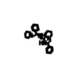 c1ccc([C@@H](CN2CCCCC2)NCCN[C@H](CN2CCCCC2)c2ccccc2)cc1